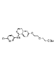 COCCOCCOc1ccc2c(Nc3ccc(Cl)nc3)nccc2c1